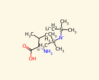 CC(C)[C@H](N)C(=O)O.C[Si](C)(C)[N-][Si](C)(C)C.[Li+]